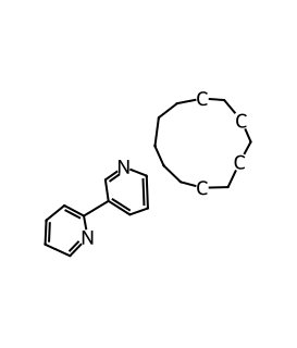 C1CCCCCCCCCCC1.c1ccc(-c2cccnc2)nc1